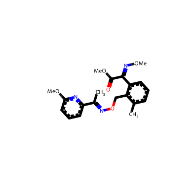 CO/N=C(/C(=O)OC)c1cccc(C)c1CO/N=C(\C)c1cccc(OC)n1